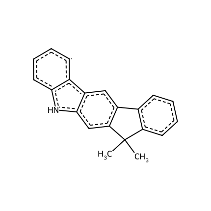 CC1(C)c2ccccc2-c2cc3c(cc21)[nH]c1ccc[c]c13